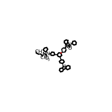 C/C=C\C=C(/C)n1c(=O)n(-c2ccc(-c3cc(-c4ccc(-n5c6ccccc6c6ccccc65)cc4)cc(C4C=CC(n5c(=O)n(-c6ccccc6)c6ccccc65)=CC4)c3)cc2)c2ccccc21